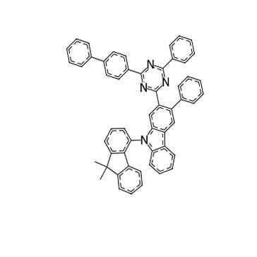 CC1(C)c2ccccc2-c2c(-n3c4ccccc4c4cc(-c5ccccc5)c(-c5nc(-c6ccccc6)nc(-c6ccc(-c7ccccc7)cc6)n5)cc43)cccc21